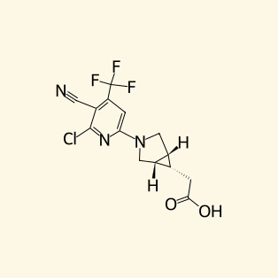 N#Cc1c(C(F)(F)F)cc(N2C[C@@H]3[C@H](CC(=O)O)[C@@H]3C2)nc1Cl